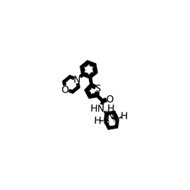 O=C(N[C@@H]1C[C@H]2CC[C@@H]1N2)c1ccc(-c2ccccc2N2CCOCC2)s1